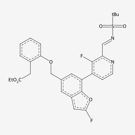 CCOC(=O)Cc1ccccc1OCc1cc(-c2ccnc(C=NS(=O)(=O)C(C)(C)C)c2F)c2oc(F)cc2c1